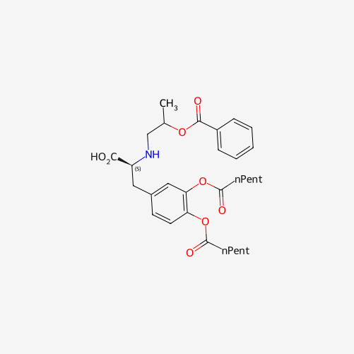 CCCCCC(=O)Oc1ccc(C[C@H](NCC(C)OC(=O)c2ccccc2)C(=O)O)cc1OC(=O)CCCCC